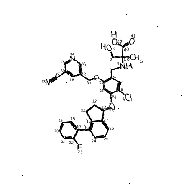 CC(CO)(NCc1cc(Cl)c(O[C@@H]2CCc3c(-c4ccccc4F)cccc32)cc1OCc1cncc(C#N)c1)C(=O)O